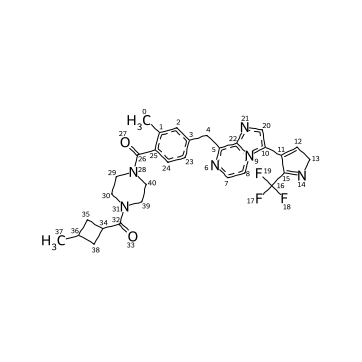 Cc1cc(Cc2nccn3c(C4=CCN=C4C(F)(F)F)cnc23)ccc1C(=O)N1CCN(C(=O)C2CC(C)C2)CC1